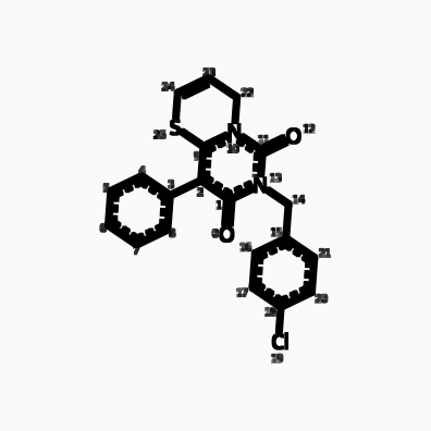 O=c1c(-c2ccccc2)c2n(c(=O)n1Cc1ccc(Cl)cc1)CC=CS2